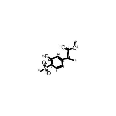 COC(=O)C(C)c1ccc(S(C)(=O)=O)c(F)c1